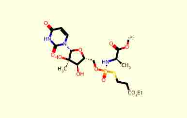 CCOC(=O)CCS[P@](=O)(N[C@H](C)C(=O)OC(C)C)OC[C@H]1O[C@@H](n2ccc(=O)[nH]c2=O)[C@](C)(O)[C@@H]1O